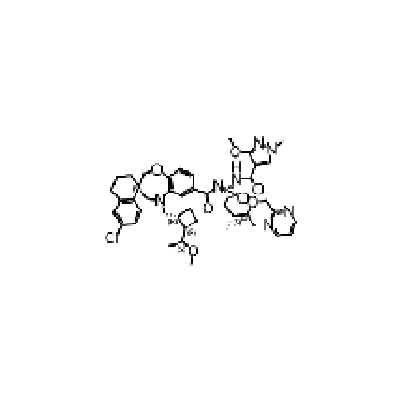 COc1nn(C)cc1C(=O)NS(=O)(C[C@@H](C)[C@H](C)OCc1ncccn1)=NC(=O)c1ccc2c(c1)N(C[C@@H]1CC[C@H]1[C@H](C)OC)C[C@@]1(CCCc3cc(Cl)ccc31)CO2